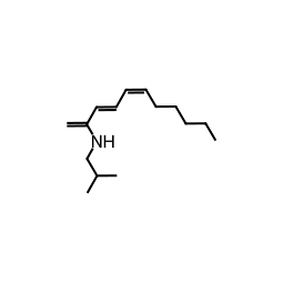 C=C(/C=C/C=C\CCCCC)NCC(C)C